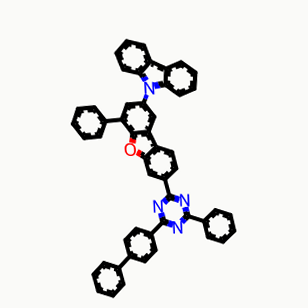 c1ccc(-c2ccc(-c3nc(-c4ccccc4)nc(-c4ccc5c(c4)oc4c(-c6ccccc6)cc(-n6c7ccccc7c7ccccc76)cc45)n3)cc2)cc1